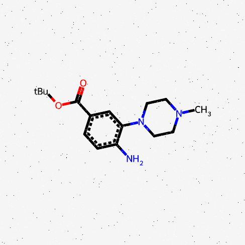 CN1CCN(c2cc(C(=O)OC(C)(C)C)ccc2N)CC1